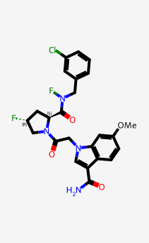 COc1ccc2c(C(N)=O)cn(CC(=O)N3C[C@H](F)C[C@H]3C(=O)N(F)Cc3cccc(Cl)c3)c2c1